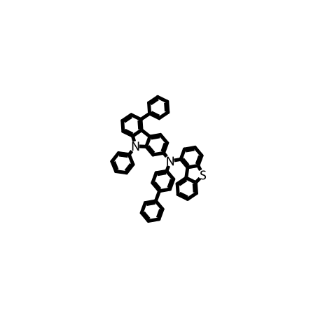 c1ccc(-c2ccc(N(c3ccc4c5c(-c6ccccc6)cccc5n(-c5ccccc5)c4c3)c3cccc4sc5ccccc5c34)cc2)cc1